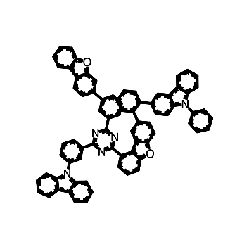 c1ccc(-n2c3ccccc3c3cc(-c4ccccc4-c4ccc5oc6cccc(-c7nc(-c8cccc(-c9ccc%10c(c9)oc9ccccc9%10)c8)nc(-c8cccc(-n9c%10ccccc%10c%10ccccc%109)c8)n7)c6c5c4)ccc32)cc1